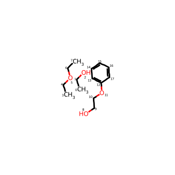 CCO.CCOCC.OCCOc1ccccc1